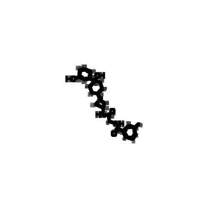 Cc1cccc(C(=O)NCC(=O)NC2CN(C3CCC(O)(c4cccc(O)c4)CC3)C2)c1